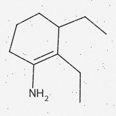 CCC1=C(N)CCCC1CC